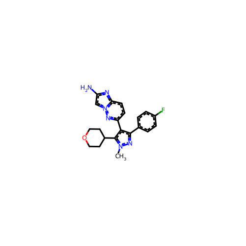 Cn1nc(-c2ccc(F)cc2)c(-c2ccc3nc(N)cn3n2)c1C1CCOCC1